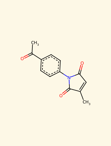 CC(=O)c1ccc(N2C(=O)C=C(C)C2=O)cc1